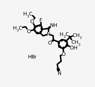 Br.CCOc1cc2c(c(F)c1OCC)C(=N)N(CC(=O)c1cc(OCCCC#N)c(O)c(C(C)(C)C)c1)C2